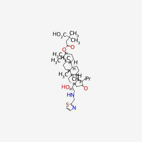 CC(C)C1=C2[C@H]3CC[C@@H]4[C@@]5(C)CC[C@H](OC(=O)CC(C)(C)C(=O)O)C(C)(C)C5CC[C@@]4(C)[C@]3(C)CC[C@@]2([C@@H](O)CNCc2nccs2)CC1=O